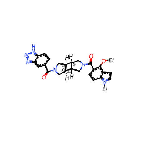 CCOc1c(C(=O)N2C[C@@H]3[C@H]4CN(C(=O)c5ccc6[nH]nnc6c5)C[C@H]4[C@@H]3C2)ccc2c1ccn2CC